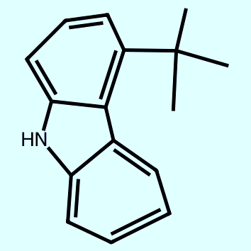 CC(C)(C)c1cccc2[nH]c3ccccc3c12